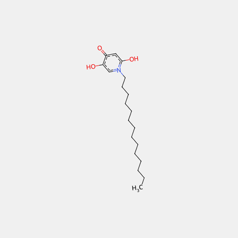 CCCCCCCCCCCCCCn1cc(O)c(=O)cc1O